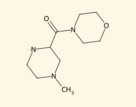 CN1CC[N]C(C(=O)N2CCOCC2)C1